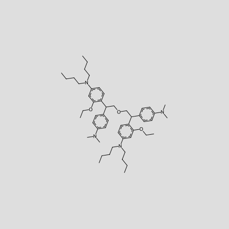 CCCCN(CCCC)c1ccc(C(COCC(c2ccc(N(C)C)cc2)c2ccc(N(CCCC)CCCC)cc2OCC)c2ccc(N(C)C)cc2)c(OCC)c1